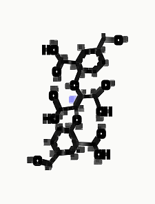 O=Cc1ccc(O/C(C(=O)O)=C(/Oc2ccc(C=O)cc2C(=O)O)C(=O)O)c(C(=O)O)c1